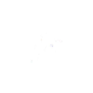 CCN1C(=O)CCSc2ccc(CF)cc21